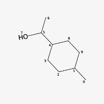 CC1CCC(C(C)O)CC1